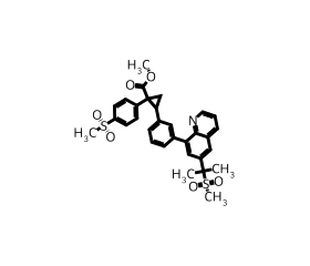 COC(=O)C1(c2ccc(S(C)(=O)=O)cc2)CC1c1cccc(-c2cc(C(C)(C)S(C)(=O)=O)cc3cccnc23)c1